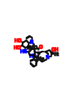 CC[C@]1(O)CC2CN(CCc3c([nH]c4ccccc34)[C@@](C(=O)OC)(c3cc4c(cc3OC)NC3C(O)C(O)C5C=CCN6CC[C@]43C56)C2)C1